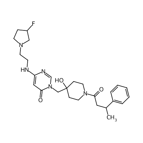 CC(CC(=O)N1CCC(O)(Cn2cnc(NCCN3CCC(F)C3)cc2=O)CC1)c1ccccc1